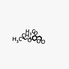 COc1cc(OCC=C(C)C)cc2oc(=O)ccc12